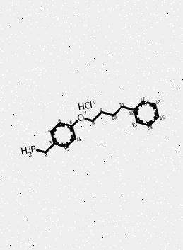 Cl.PCc1ccc(OCCCCc2ccccc2)cc1